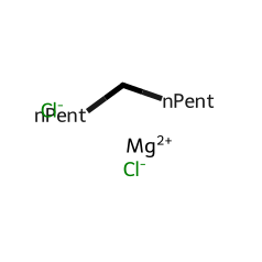 CCCCCCCCCCC.[Cl-].[Cl-].[Mg+2]